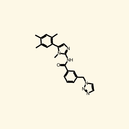 Cc1cc(C)c(-c2cnc(NC(=O)c3cccc(Cn4ccnn4)c3)n2C)cc1C